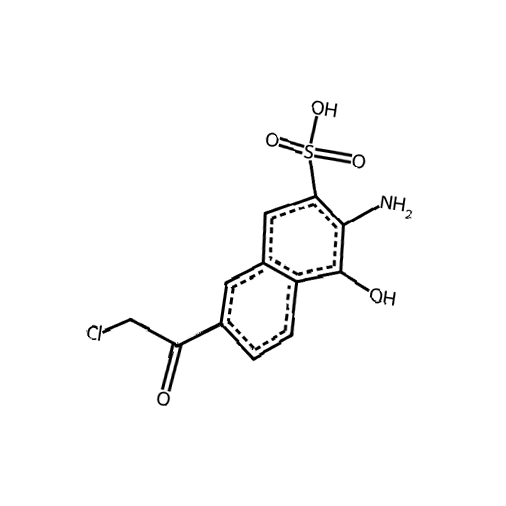 Nc1c(S(=O)(=O)O)cc2cc(C(=O)CCl)ccc2c1O